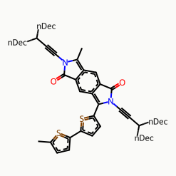 CCCCCCCCCCC(C#CN1C(=O)c2cc3c(cc2=C1C)C(=O)N(C#CC(CCCCCCCCCC)CCCCCCCCCC)C=3c1ccc(-c2ccc(C)s2)s1)CCCCCCCCCC